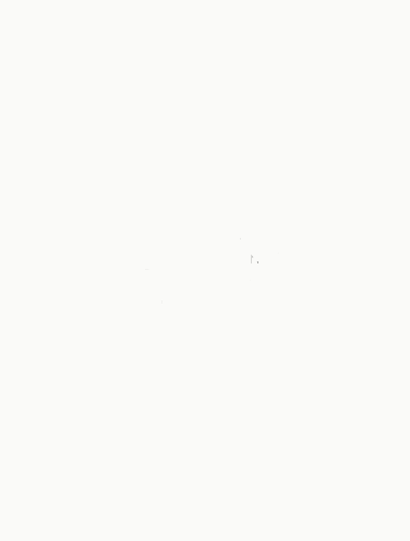 CC1(C)CCC(C)(c2ccc(OC(C(F)(F)F)C(F)(F)F)cc2)N1[O]